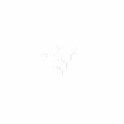 CCNC(CCC(N)CCN)CC(N)CC(N)CC